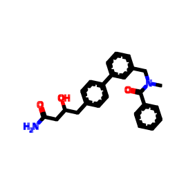 CN(Cc1cccc(-c2ccc(CC(O)CC(N)=O)cc2)c1)C(=O)c1ccccc1